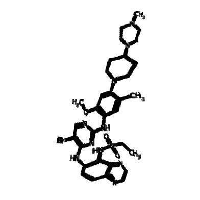 CCS(=O)(=O)Nc1c(Nc2nc(Nc3cc(C)c(N4CCC(N5CCN(C)CC5)CC4)cc3OC)ncc2Br)ccc2nccnc12